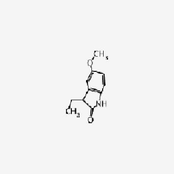 CCC1C(=O)Nc2ccc(OC)cc21